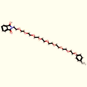 O=C1c2ccccc2C(=O)N1CCOCCOCCOCCOCCOCCOCCOCCOCCOc1ccc([N+](=O)[O-])cc1